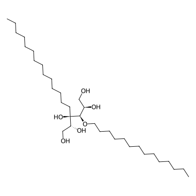 CCCCCCCCCCCCCCO[C@H]([C@H](O)CO)[C@@](O)(CCCCCCCCCCCCCC)[C@H](O)CO